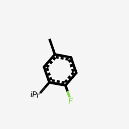 [CH2]C(C)c1cc(C)ccc1F